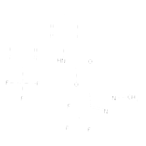 Cn1cc(OC(=O)Nc2ccccc2-c2cccc(C(F)(F)F)c2)c(C(F)(F)F)n1